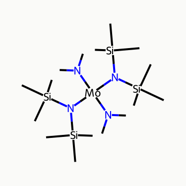 C[N](C)[Mo]([N](C)C)([N]([Si](C)(C)C)[Si](C)(C)C)[N]([Si](C)(C)C)[Si](C)(C)C